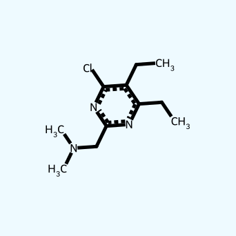 CCc1nc(CN(C)C)nc(Cl)c1CC